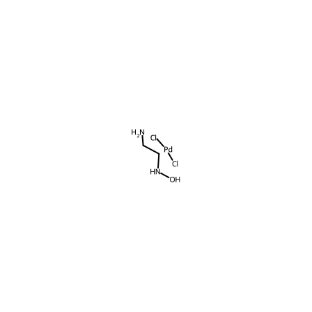 NCCNO.[Cl][Pd][Cl]